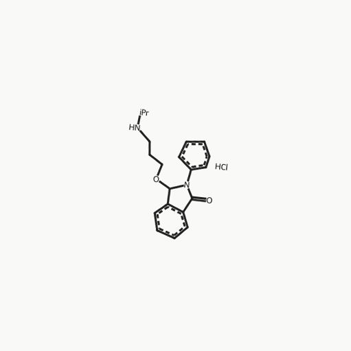 CC(C)NCCCOC1c2ccccc2C(=O)N1c1ccccc1.Cl